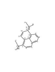 C[SiH](C)c1ccc2cccc3c2c1C=CC3[SiH](C)C